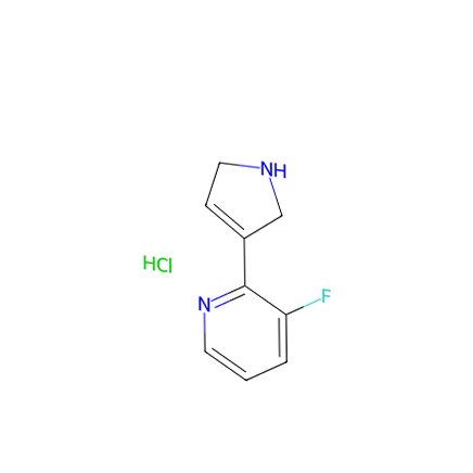 Cl.Fc1cccnc1C1=CCNC1